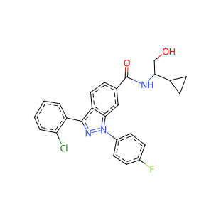 O=C(NC(CO)C1CC1)c1ccc2c(-c3ccccc3Cl)nn(-c3ccc(F)cc3)c2c1